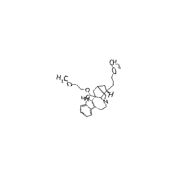 COCCOC(=O)C12CC3C[C@H](CCOC)C1N(CCc1c2[nH]c2ccccc12)C3